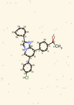 CC(=O)c1ccc(-c2cc(-c3ccc(Cl)cc3)cn3cc(-c4ccccc4)nc23)cc1